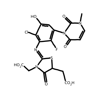 Cn1ccc(=O)n(-c2cc(O)c(Cl)c(N=C3SC(CC(=O)O)C(=O)N3CC(=O)O)c2F)c1=O